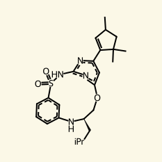 CC(C)C[C@@H]1COc2cc(C3=CC(C)CC3(C)C)nc(n2)NS(=O)(=O)c2cccc(c2)N1